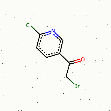 O=C(CBr)c1ccc(Cl)nc1